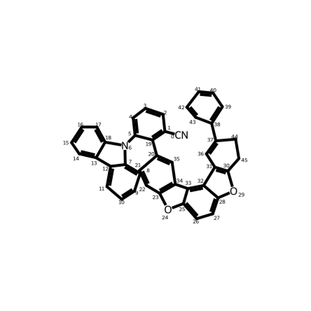 N#Cc1cccc(-n2c3ccccc3c3ccccc32)c1-c1ccc2oc3ccc4oc5c(c4c3c2c1)C=C(c1ccccc1)CC5